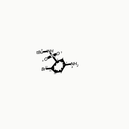 CC(C)(C)NS(=O)(=O)c1cc(N)ccc1Br